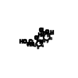 O=C(O)N[C@H]1CCN([C@H]2CC[C@@H]3C[C@H]2C(=O)O3)C1=O